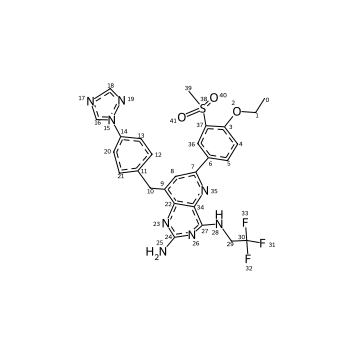 CCOc1ccc(-c2cc(Cc3ccc(-n4cncn4)cc3)c3nc(N)nc(NCC(F)(F)F)c3n2)cc1S(C)(=O)=O